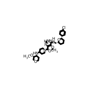 C=C(NC[C@H]1CCC[C@@H](C2C=CC(Cl)=CC2)O1)/C(OC)=C(\N=C/N)C(=O)N1CCC(N[C@H]2CCOC[C@H]2OC)CC1